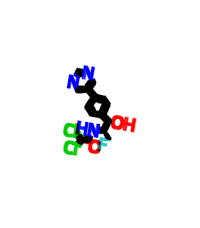 O=C(N[C@H](CF)[C@H](O)c1ccc(-c2cncnc2)cc1)C(Cl)Cl